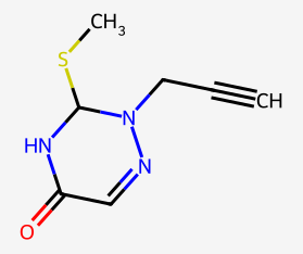 C#CCN1N=CC(=O)NC1SC